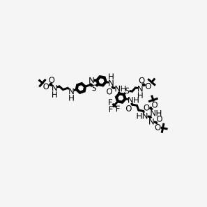 CC(C)(C)OC(=O)/N=C(/NCCCC(=O)Nc1cc(C(F)(F)F)cc(NC(=O)Nc2ccc3nc(-c4ccc(NCCCNC(=O)OC(C)(C)C)cc4)sc3c2)c1SCCNC(=O)OC(C)(C)C)NC(=O)OC(C)(C)C